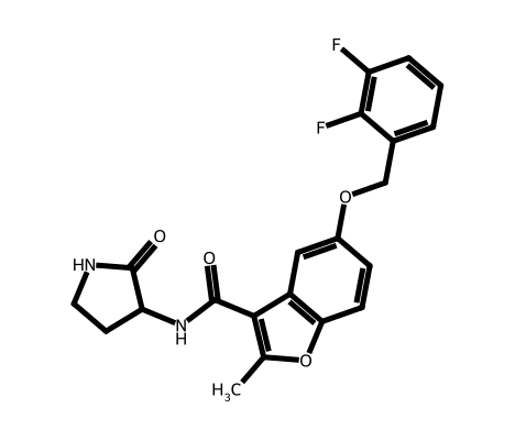 Cc1oc2ccc(OCc3cccc(F)c3F)cc2c1C(=O)NC1CCNC1=O